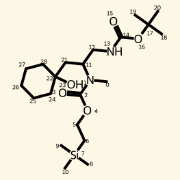 CN(C(=O)OCC[Si](C)(C)C)C(CNC(=O)OC(C)(C)C)CC1(O)CCCCC1